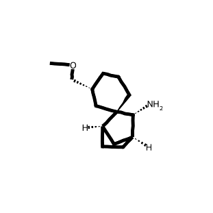 COC[C@@H]1CCC[C@]2(C1)[C@@H]1CC[C@@H](C1)[C@H]2N